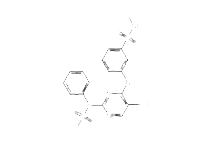 Cc1cnc(N(c2ccccc2)S(=O)(=O)C(C)C)nc1Nc1cccc(S(=O)(=O)NC(C)(C)C)c1